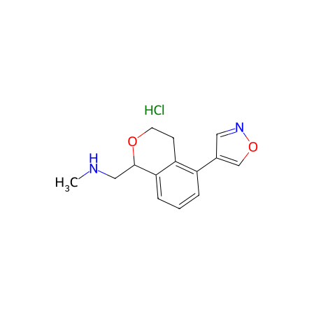 CNCC1OCCc2c(-c3cnoc3)cccc21.Cl